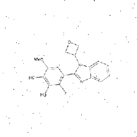 COc1cc(-c2nc3ccccc3n2C2COC2)c(F)c(O)c1O